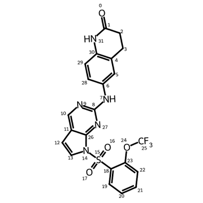 O=C1CCc2cc(Nc3ncc4ccn(S(=O)(=O)c5ccccc5OC(F)(F)F)c4n3)ccc2N1